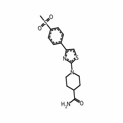 CS(=O)(=O)c1ccc(-c2csc(N3CCC(C(N)=O)CC3)n2)cc1